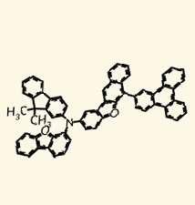 CC1(C)c2ccccc2-c2ccc(N(c3ccc4oc5c(-c6ccc7c8ccccc8c8ccccc8c7c6)c6ccccc6cc5c4c3)c3cccc4c3oc3ccccc34)cc21